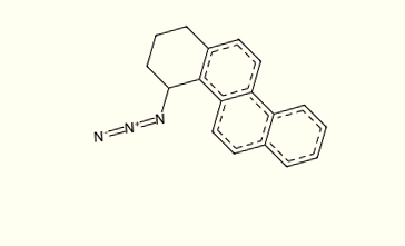 [N-]=[N+]=NC1CCCc2ccc3c(ccc4ccccc43)c21